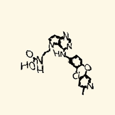 Cc1ccc(Oc2ccc(Nc3ncnc4ccn(CCNC(=O)O)c34)cc2Cl)cn1